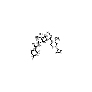 C[C@H]1CN(C2CCC2)CCN1C(=O)N1Cc2c(NC(=O)c3ccc(F)cc3F)n[nH]c2C1(C)C